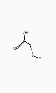 CCSCC([NH])=O